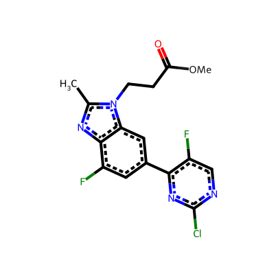 COC(=O)CCn1c(C)nc2c(F)cc(-c3nc(Cl)ncc3F)cc21